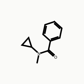 CN(C(=O)c1cc[c]cc1)C1CC1